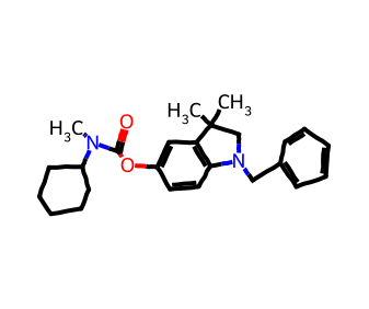 CN(C(=O)Oc1ccc2c(c1)C(C)(C)CN2Cc1ccccc1)C1CCCCC1